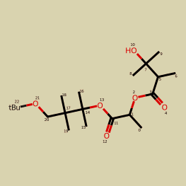 CC(OC(=O)C(C)C(C)(C)O)C(=O)OC(C)(C)C(C)(C)COC(C)(C)C